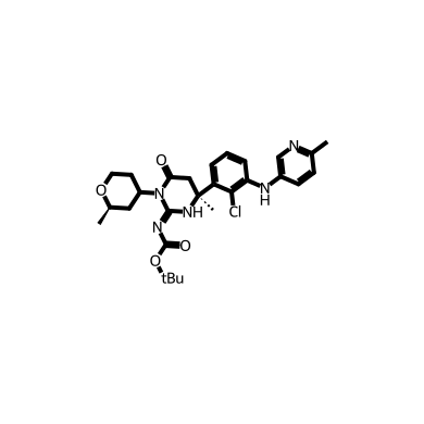 Cc1ccc(Nc2cccc([C@]3(C)CC(=O)N(C4CCO[C@H](C)C4)/C(=N/C(=O)OC(C)(C)C)N3)c2Cl)cn1